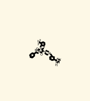 Cc1c(N2CCN(Cc3cccc(-c4nnn[nH]4)c3)CC2)c(=O)n(C[C@@H](N)c2ccccc2)c(=O)n1Cc1c(F)cccc1C(F)(F)F